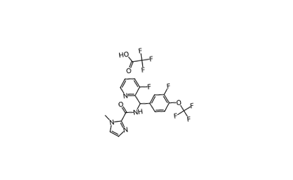 Cn1ccnc1C(=O)NC(c1ccc(OC(F)(F)F)c(F)c1)c1ncccc1F.O=C(O)C(F)(F)F